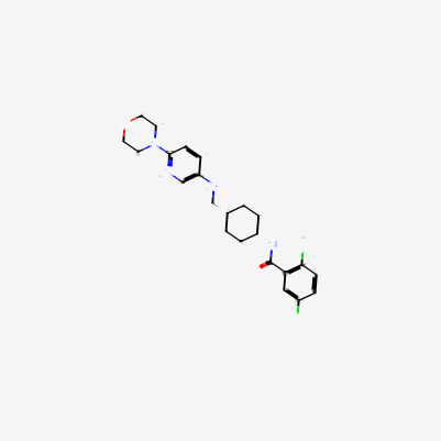 O=C(N[C@H]1CC[C@H](CNc2ccc(N3CCOCC3)nc2)CC1)c1cc(Cl)ccc1Cl